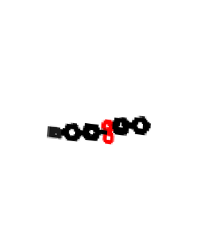 CCC1CCC(C2CCC(C(=O)Oc3ccc(C4CCCCC4)cc3)CC2)CC1